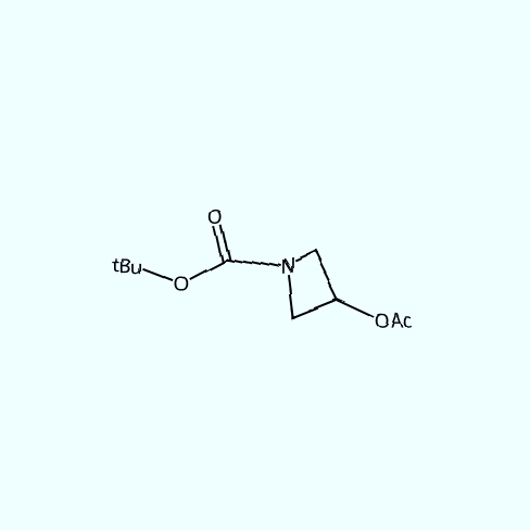 CC(=O)OC1CN(C(=O)OC(C)(C)C)C1